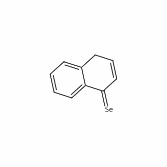 [Se]=C1C=CCc2ccccc21